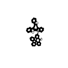 O=C1c2ccccc2C(c2ccccc2)(c2ccccc2)c2ccc(-n3c4ccccc4c4c5oc6ccccc6c5c5c6ccccc6oc5c43)cc21